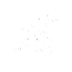 Cc1cc(F)c(N)cc1-n1cc(C(=O)O)c(=O)c2cc(F)c(N3CC(N)C3)c(Cl)c21